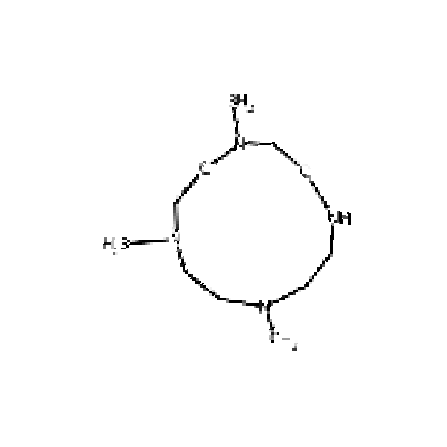 BN1CCNCCN(C)CCN(B)CC1